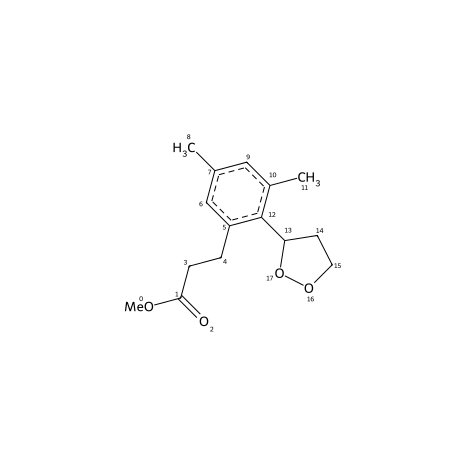 COC(=O)CCc1cc(C)cc(C)c1C1CCOO1